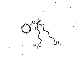 CCCCCOP(=O)(OCCCC)Oc1ccccc1